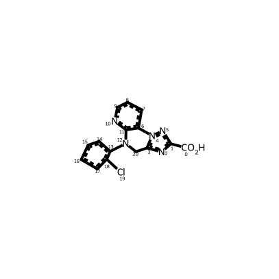 O=C(O)c1nc2n(n1)-c1cccnc1N(c1ccccc1Cl)C2